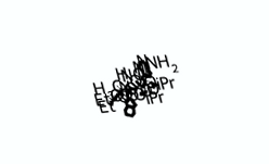 CCC(CC)COC(=O)[C@H](C)NP(=O)(OC[C@H]1O[C@@](C#N)(c2ccc3c(N)ncnn23)[C@H](OC(=O)C(C)C)[C@@H]1OC(=O)C(C)C)Oc1ccc2c(c1)CCCC2